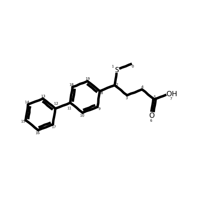 CSC(CCC(=O)O)c1ccc(-c2ccccc2)cc1